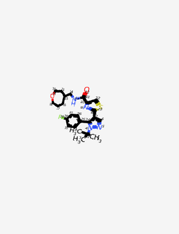 CC(C)(C)n1ncc(-c2nc(C(=O)NCC3CCCOCC3)cs2)c1-c1ccc(F)cc1